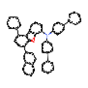 c1ccc(-c2ccc(N(c3ccc(-c4ccccc4)cc3)c3cccc4c3oc3c(-c5ccc6ccccc6c5)ccc(-c5ccccc5)c34)cc2)cc1